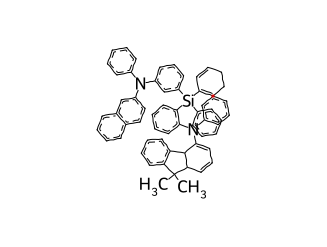 CC1(C)c2ccccc2C2C(N(c3ccccc3)c3ccccc3[Si](C3=CCCC=C3)(c3ccccc3)c3cccc(N(c4ccccc4)c4ccc5ccccc5c4)c3)=CC=CC21